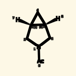 CC(=O)N1C[C@H]2C[C@H]2C1